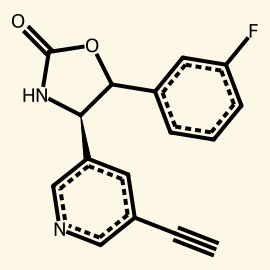 C#Cc1cncc([C@H]2NC(=O)OC2c2cccc(F)c2)c1